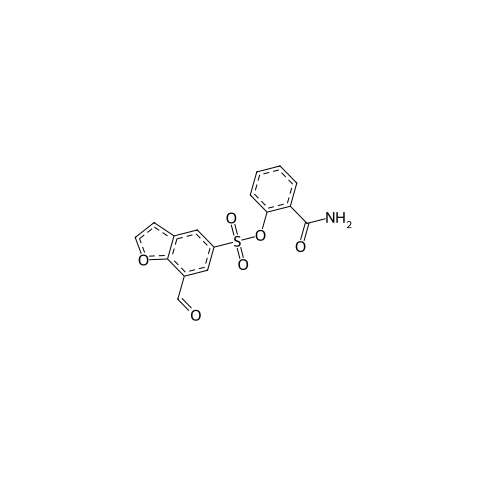 NC(=O)c1ccccc1OS(=O)(=O)c1cc(C=O)c2occc2c1